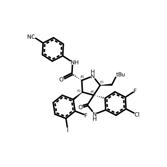 CC(C)(C)C[C@@H]1N[C@@H](C(=O)Nc2ccc(C#N)cc2)[C@H](c2cccc(I)c2F)[C@]12C(=O)Nc1cc(Cl)c(F)cc12